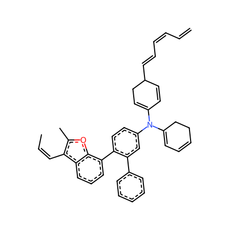 C=C/C=C\C=C\C1C=CC(N(C2=CC=CCC2)c2ccc(-c3cccc4c(/C=C\C)c(C)oc34)c(-c3ccccc3)c2)=CC1